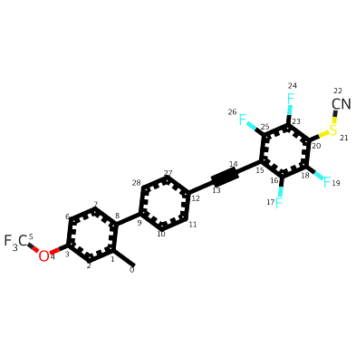 Cc1cc(OC(F)(F)F)ccc1-c1ccc(C#Cc2c(F)c(F)c(SC#N)c(F)c2F)cc1